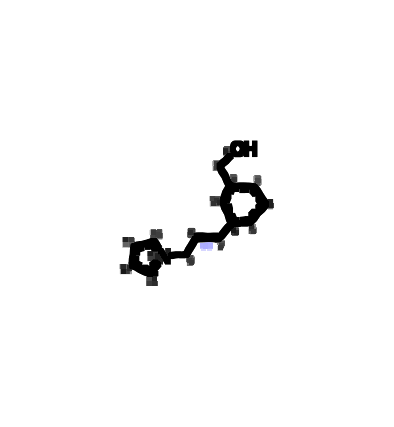 OCc1cccc(/C=C/Cn2[c]ccc2)c1